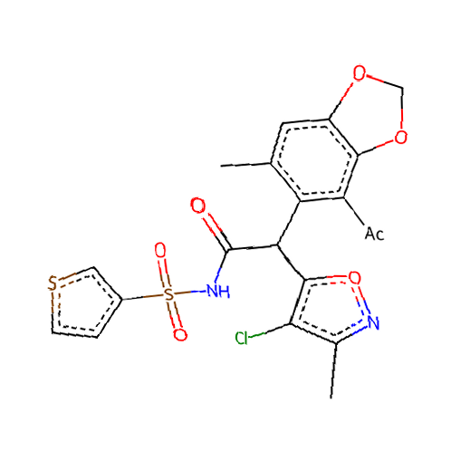 CC(=O)c1c2c(cc(C)c1C(C(=O)NS(=O)(=O)c1ccsc1)c1onc(C)c1Cl)OCO2